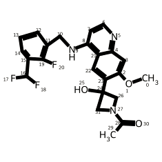 COc1cc2nccc(NCc3cccc(C(F)F)c3F)c2cc1C1(O)CN(C(C)=O)C1